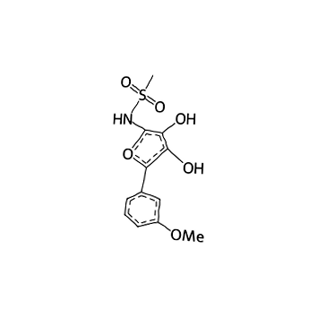 COc1cccc(-c2oc(NS(C)(=O)=O)c(O)c2O)c1